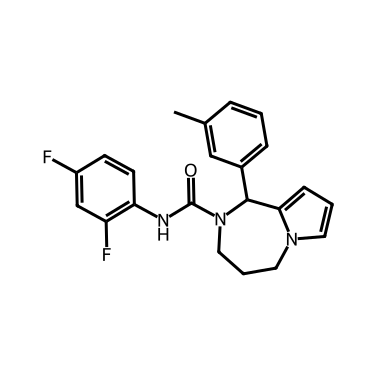 Cc1cccc(C2c3cccn3CCCN2C(=O)Nc2ccc(F)cc2F)c1